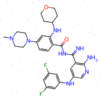 CN1CCN(c2ccc(C(=O)NC(=N)c3cc(Nc4cc(F)cc(F)c4)cnc3N)c(NC3CCOCC3)c2)CC1